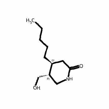 CCCCC[C@H]1CC(=O)NC[C@@H]1CO